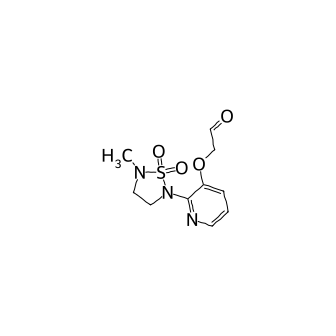 CN1CCN(c2ncccc2OCC=O)S1(=O)=O